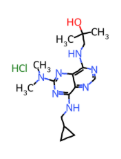 CN(C)c1nc(NCC2CC2)c2ncnc(NCC(C)(C)O)c2n1.Cl